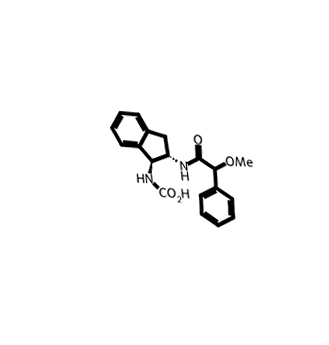 COC(C(=O)N[C@H]1Cc2ccccc2[C@@H]1NC(=O)O)c1ccccc1